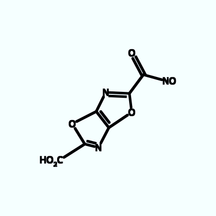 O=NC(=O)c1nc2oc(C(=O)O)nc2o1